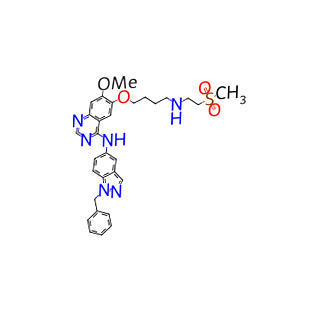 COc1cc2ncnc(Nc3ccc4c(cnn4Cc4ccccc4)c3)c2cc1OCCCCNCCS(C)(=O)=O